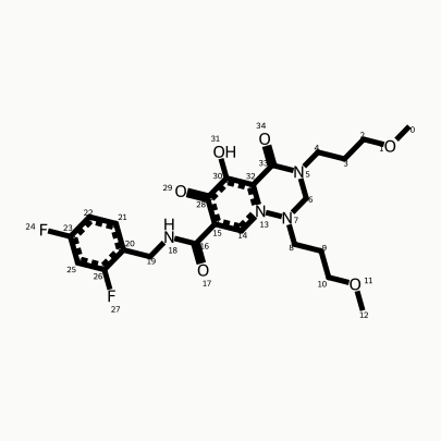 COCCCN1CN(CCCOC)n2cc(C(=O)NCc3ccc(F)cc3F)c(=O)c(O)c2C1=O